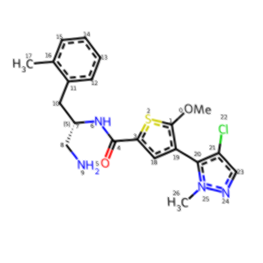 COc1sc(C(=O)N[C@H](CN)Cc2ccccc2C)cc1-c1c(Cl)cnn1C